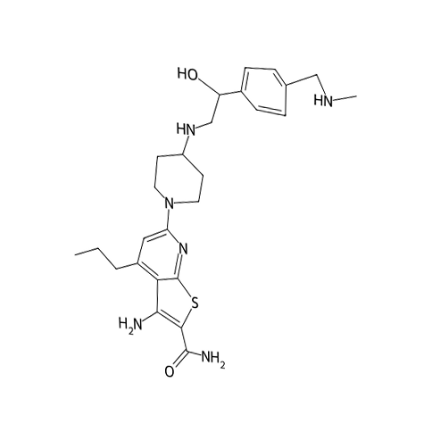 CCCc1cc(N2CCC(NCC(O)c3ccc(CNC)cc3)CC2)nc2sc(C(N)=O)c(N)c12